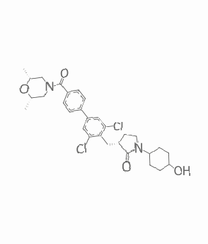 C[C@@H]1CN(C(=O)c2ccc(-c3cc(Cl)c(C[C@@H]4CCN(C5CCC(O)CC5)C4=O)c(Cl)c3)cc2)C[C@H](C)O1